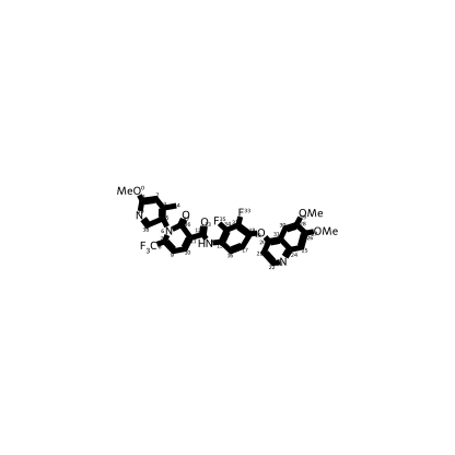 COc1cc(C)c(-n2c(C(F)(F)F)ccc(C(=O)Nc3ccc(Oc4ccnc5cc(OC)c(OC)cc45)c(F)c3F)c2=O)cn1